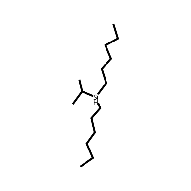 CCCCCC[SiH](CCCCCC)C(C)C